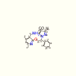 Cc1cc(C)c(CN)c(OCC(c2ccccc2)n2cc(C(=O)O)c(C)n2)n1